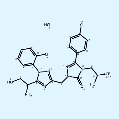 Cl.NC(CO)c1nc(Cn2nc(-c3ccc(Cl)cc3)n(C[C@H](O)C(F)(F)F)c2=O)nn1-c1ccccc1Cl